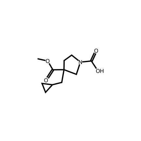 COC(=O)C1(CC2CC2)CCN(C(=O)O)C1